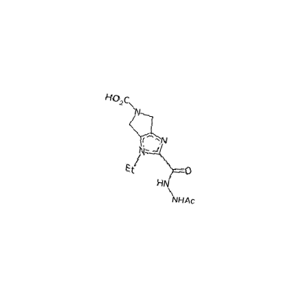 CCn1c(C(=O)NNC(C)=O)nc2c1CN(C(=O)O)C2